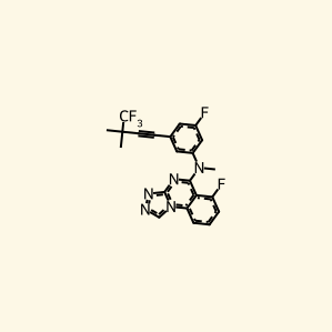 CN(c1cc(F)cc(C#CC(C)(C)C(F)(F)F)c1)c1nc2nncn2c2cccc(F)c12